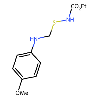 CCOC(=O)NSCNc1ccc(OC)cc1